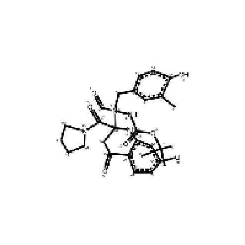 Cc1cc(C[N+](C=O)(NC(=O)OC(C)(C)C)C2(C(=O)N3CCCC3)CC(=O)c3ccc(Cl)cc3N2)ccc1O